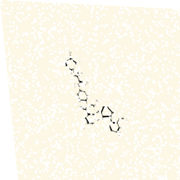 NCc1cc(F)ccc1-c1cccc(-n2c(=O)n(C3CCC(NC(=O)c4cn5cc(F)ccc5n4)CC3)c(=O)c3cc(F)cnc32)c1